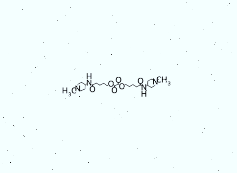 CN1CCC(NC(=O)CCCCOC(=O)C(=O)OCCCCC(=O)NC2CCN(C)CC2)CC1